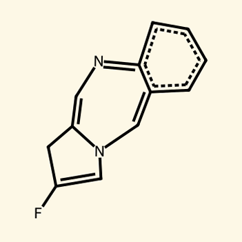 FC1=CN2C=c3ccccc3=NC=C2C1